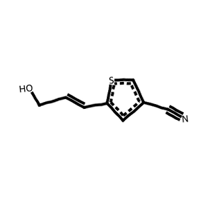 N#Cc1csc(C=CCO)c1